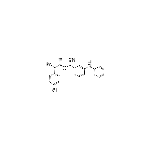 CC(C)C(C(=O)OC(C#N)c1cccc(Nc2ccccc2)c1)c1ccc(Cl)cc1